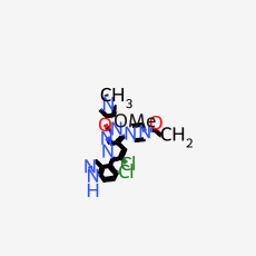 C=CC(=O)N1CCN(c2nc(O[C@@H]3CN(C)C[C@H]3OC)nc3nc(-c4c(Cl)ccc5[nH]ncc45)c(Cl)cc23)CC1